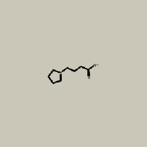 [NH]C(=O)CCCN1CCCC1